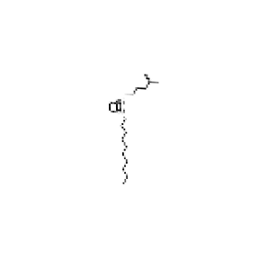 C=C(C)CCCC[C@H]1O[C@H]1CCCCCCCCCC